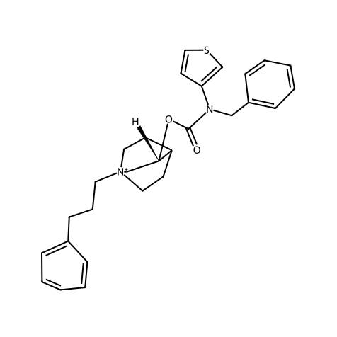 O=C(O[C@H]1C[N+]2(CCCc3ccccc3)CCC1CC2)N(Cc1ccccc1)c1ccsc1